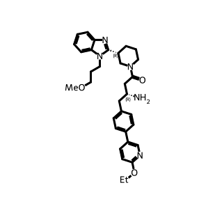 CCOc1ccc(-c2ccc(C[C@@H](N)CC(=O)N3CCC[C@@H](c4nc5ccccc5n4CCCOC)C3)cc2)cn1